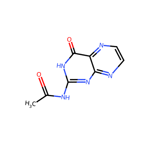 CC(=O)Nc1nc2nccnc2c(=O)[nH]1